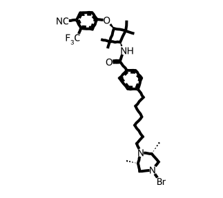 C[C@@H]1CN(Br)C[C@H](C)N1CCCCCCc1ccc(C(=O)N[C@H]2C(C)(C)[C@H](Oc3ccc(C#N)c(C(F)(F)F)c3)C2(C)C)cc1